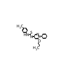 CCCOc1cc(=NC(=S)Nc2ccc(C)cc2)cnn1C1C=CCC=C1